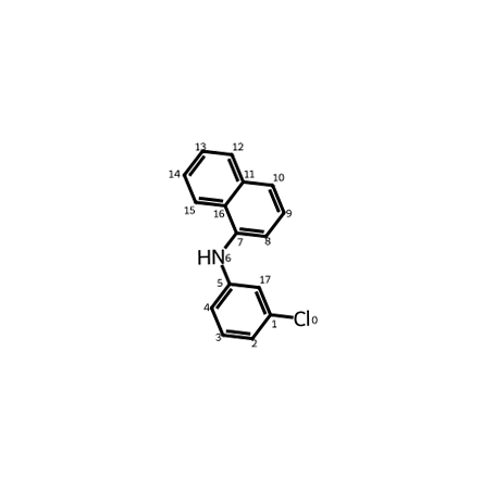 Clc1cccc(Nc2cccc3ccccc23)c1